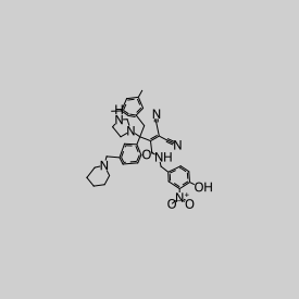 Cc1cc(C)cc(CC(C(C(=O)NCc2ccc(O)c([N+](=O)[O-])c2)=C(C#N)C#N)(c2cccc(CN3CCCCC3)c2)N2CCNC2)c1